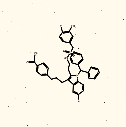 Cc1cc(CS(=O)(=O)NCCc2c(CCCc3ccc(C(=O)O)cc3)c3cc(Cl)ccc3n2C(c2ccccc2)c2ccccc2)ccc1Cl